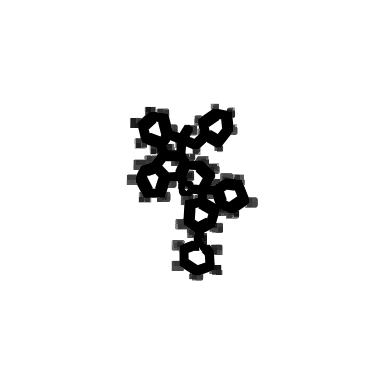 CC1(Cc2ccccc2)c2ccccc2-c2c1c1c(c3ccccc23)OC(c2ccccc2)(c2ccc(N3CCCCC3)cc2)C=C1